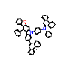 c1ccc(-c2c3c(cc4c2c2ccc(-c5cc6ccccc6c6ccccc56)cc2n4-c2ccc(N(c4ccccc4)c4cc5ccccc5c5ccccc45)cc2)oc2ccccc23)cc1